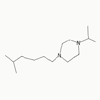 CC(C)CCCCN1CCN(C(C)C)CC1